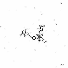 COc1cccc(CN(C(=O)C2=C(c3ccc(CCCOc4c(F)ccc(F)c4Cl)cc3)C[C@@H]3CC(CN(C)C)C[C@H]2N3)C2CC2)c1C